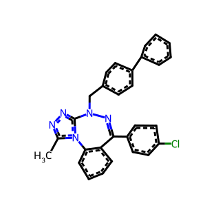 Cc1nnc2n1-c1ccccc1C(c1ccc(Cl)cc1)=NN2Cc1ccc(-c2ccccc2)cc1